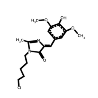 COc1cc(/C=C2\N=C(C)N(CCCCCCl)C2=O)cc(OC)c1O